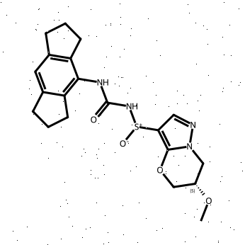 CO[C@@H]1COc2c([S+]([O-])NC(=O)Nc3c4c(cc5c3CCC5)CCC4)cnn2C1